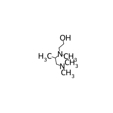 CC(CN(C)C)N(C)CCO